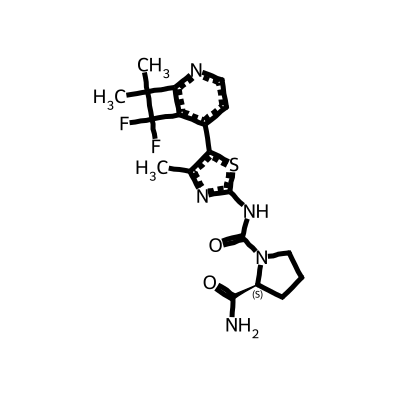 Cc1nc(NC(=O)N2CCC[C@H]2C(N)=O)sc1-c1ccnc2c1C(F)(F)C2(C)C